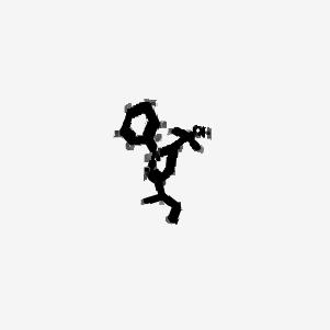 CCC(C)c1cc(C(C)(C)O)n(-c2ccccc2)n1